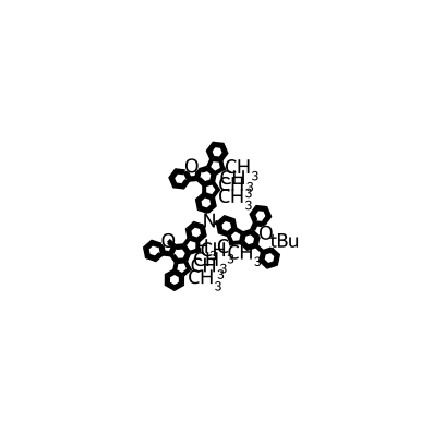 CC(C)(C)c1ccccc1-c1cc2c(c3c1oc1ccccc13)-c1ccc(N(c3ccc4c(c3)C(C)(C)c3c5c(c6c(oc7ccccc76)c3-4)-c3ccccc3C5(C)C)c3ccc4c(c3)C(C)(C)c3c5c(c6oc7ccccc7c6c3-4)-c3ccccc3C5(C)C)cc1C2(C)C